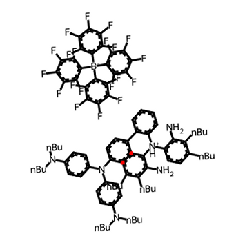 CCCCc1ccc([NH+](c2ccccc2-c2ccc(N(c3ccc(N(CCCC)CCCC)cc3)c3ccc(N(CCCC)CCCC)cc3)cc2)c2ccc(CCCC)c(CCCC)c2N)c(N)c1CCCC.Fc1c(F)c(F)c([B-](c2c(F)c(F)c(F)c(F)c2F)(c2c(F)c(F)c(F)c(F)c2F)c2c(F)c(F)c(F)c(F)c2F)c(F)c1F